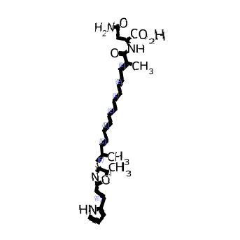 CC(/C=C/C=C/C=C/C=C/C=C/C=C(\C)C(=O)NC(CC(N)=O)C(=O)O)=C\[C@H]1N=C(/C=C/c2ccc[nH]2)O[C@@H]1C